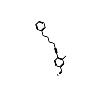 Cc1cc(C=O)ccc1C#CCCCCc1ccccc1